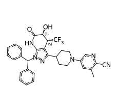 Cc1cc(N2CCC(c3nn(C(c4ccccc4)c4ccccc4)c4c3[C@H](C(F)(F)F)[C@H](O)C(=O)N4)CC2)cnc1C#N